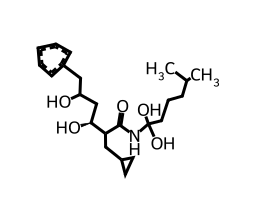 CC(C)CCCC(O)(O)NC(=O)C(CC1CC1)[C@@H](O)CC(O)Cc1ccccc1